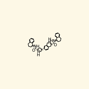 O=C(N[C@@H]1CCCc2ccccc21)[C@@H]1Cc2ccc([C@@H]3CN[C@H](C(=O)N[C@@H]4CCCc5ccccc54)C3)cc2CN1